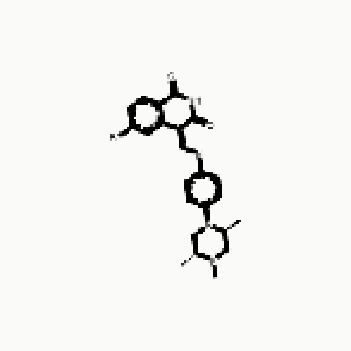 C[C@@H]1CN(c2ccc(N/C=C3\C(=O)NC(=O)c4ccc(Br)cc43)cc2)[C@@H](C)CN1C